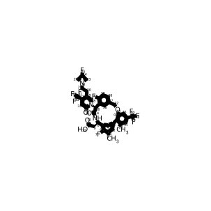 Cc1cc2cc(c1F)[C@@H](CC(=O)O)NC(=O)[C@@H](n1cc(CCN3CC(F)C3)c(C(F)(F)F)cc1=O)c1cc(ccc1F)COc1cc(C(F)(F)F)cc(C)c1-2